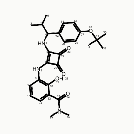 CC(C)C(Nc1c(Nc2cccc(C(=O)N(C)C)c2O)c(=O)c1=O)c1ccc(OC(C)(C)C)cc1